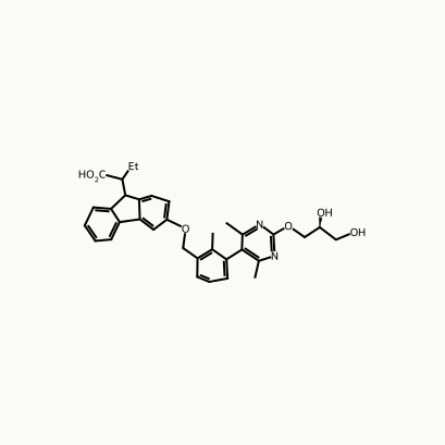 CCC(C(=O)O)C1c2ccccc2-c2cc(OCc3cccc(-c4c(C)nc(OC[C@@H](O)CO)nc4C)c3C)ccc21